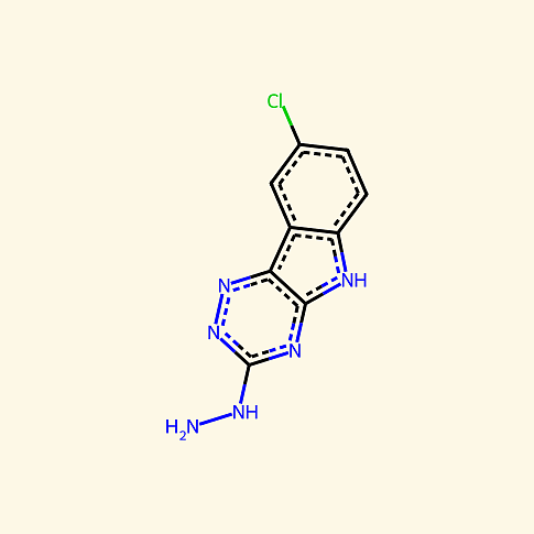 NNc1nnc2c(n1)[nH]c1ccc(Cl)cc12